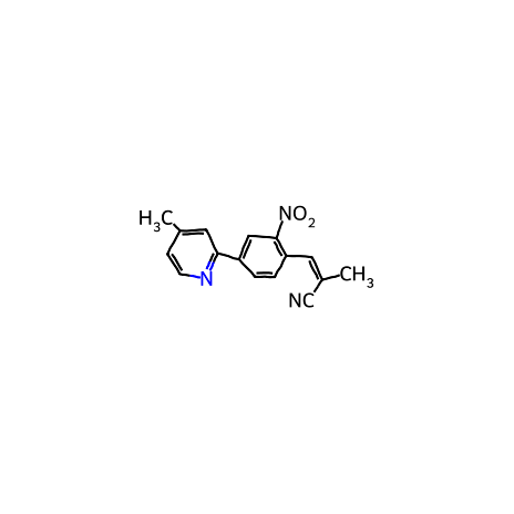 C/C(C#N)=C/c1ccc(-c2cc(C)ccn2)cc1[N+](=O)[O-]